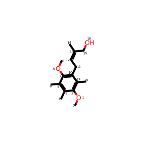 COc1c(C)c(C)c(OC)c(CC=C(C)CO)c1C